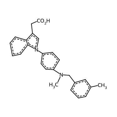 Cc1cccc(CN(C)c2ccc(-n3cc(CC(=O)O)c4ccccc43)cc2)c1